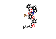 COC(=O)Cc1cccc(Oc2ccc(Br)cc2CN(C(=O)OCc2ccccc2)C2CCc3ccccc32)c1